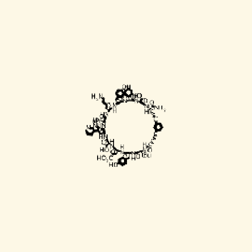 CCC[C@@H]1NC(=O)[C@H](Cc2c[nH]c3ncccc23)NC(=O)[C@H]([C@@H](C)O)NC(=O)[C@H](CCC(=O)O)NC(=O)[C@H](Cc2ccc(O)cc2)NC(=O)[C@H](C(C)(C)C)NC(=O)CCSCc2cccc(c2)CSC[C@@H](C(N)=O)NC(=O)[C@H]([C@@H](C)O)NC(=O)[C@H](C2CCCCC2)NC(=O)[C@H](Cc2ccc(O)cc2)NC(=O)[C@H](CCCCN)NC1=O